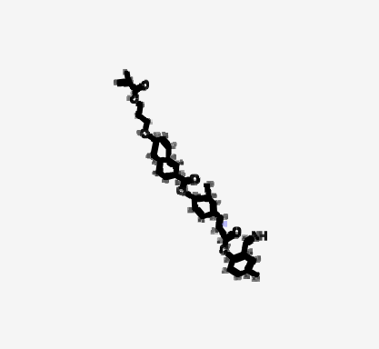 C=C(C)C(=O)OCCCOc1ccc2cc(C(=O)Oc3ccc(/C=C/C(=O)Oc4ccc(C)cc4C=N)cc3C)ccc2c1